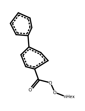 [CH2]CCCCCOOC(=O)c1ccc(-c2ccccc2)cc1